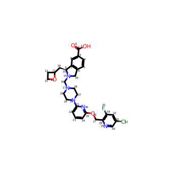 O=C(O)c1ccc2c(c1)[C@H](CC1CCO1)N(CN1CCN(c3cccc(OCc4ncc(Cl)cc4F)n3)CC1)C2